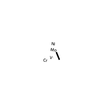 [CH3][Mo].[Cr].[Ni].[V]